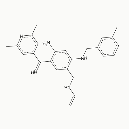 C=CNCc1cc(C(=N)c2cc(C)nc(C)c2)c(N)cc1NCc1cccc(C)c1